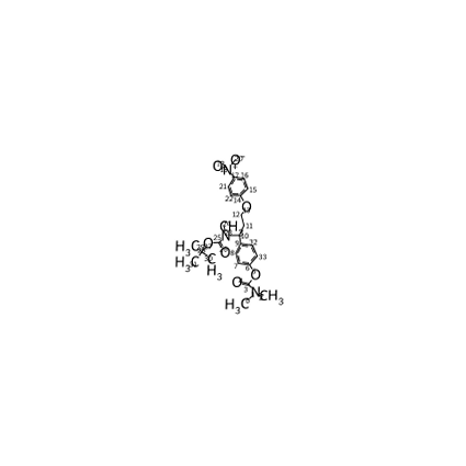 CN(C)C(=O)Oc1ccc(C(CCOc2ccc([N+](=O)[O-])cc2)N(C)C(=O)OC(C)(C)C)cc1